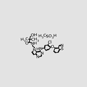 CC(C)(CO)C(=O)NCCn1ccc2ncnc(Nc3ccc(Oc4cccc5sncc45)c(Cl)c3)c21.CS(=O)(=O)O